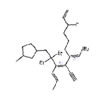 C#CC(/C(=C/C(C)CC)CCCC(F)C=C)=C(\C=CC)C(CC)(CC)CC1CCC(C)C1